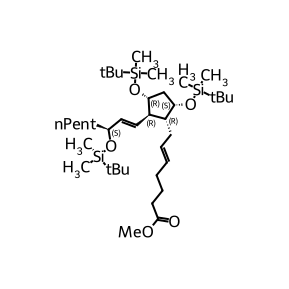 CCCCC[C@@H](C=C[C@@H]1[C@@H](CC=CCCCC(=O)OC)[C@@H](O[Si](C)(C)C(C)(C)C)C[C@H]1O[Si](C)(C)C(C)(C)C)O[Si](C)(C)C(C)(C)C